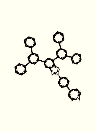 c1ccc(-c2cc(-c3ccccc3)cc(-c3cc(-c4cc(-c5ccccc5)cc(-c5ccccc5)c4)c4nn(-c5ccc(-c6ccncc6)cc5)nc4c3)c2)cc1